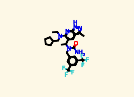 CCN(CC1CCCC1)c1nc2[nH]nc(C)c2cc1C(C)N(Cc1cc(C(F)(F)F)cc(C(F)(F)F)c1)C(N)=O